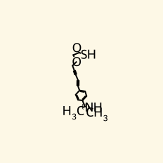 CN[C@H](C)c1ccc(C#CC#CCOCC(=O)S)cc1